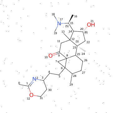 CC1=NC(CCC23CC24C(=O)CC2(C)C([C@H](C)N(C)C)[C@H](O)C[C@@]2(C)C4CCC3C)CCO1